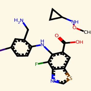 CONC1CC1.NCc1cc(I)ccc1Nc1c(C(=O)O)cc2scnc2c1F